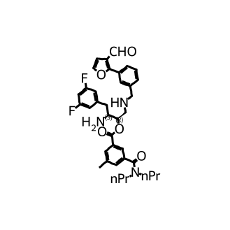 CCCN(CCC)C(=O)c1cc(C)cc(C(=O)O[C@H](CNCc2cccc(-c3occc3C=O)c2)[C@@H](N)Cc2cc(F)cc(F)c2)c1